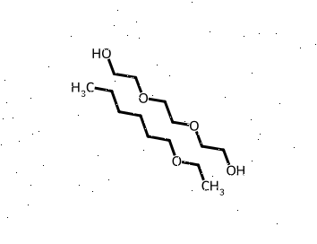 CCCCCCOCC.OCCOCCOCCO